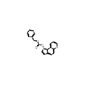 O=C(OCc1ccccc1)ON1C=CC2=CC=C3SC=CC=C3C21